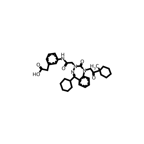 CC1(C(=O)CN2C(=O)N(CC(=O)Nc3cccc(CC(=O)O)c3)N=C(C3CCCCC3)c3ccccc32)CCCCC1